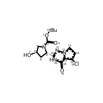 CC(C)(C)OC(=O)N1C[C@H](O)C[C@H]1c1nn2ccc(Cl)c2c(=O)[nH]1